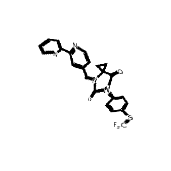 O=C1N(c2ccc(SC(F)(F)F)cc2)C(=O)C2(CC2)N1Cc1ccnc(-c2ccccn2)c1